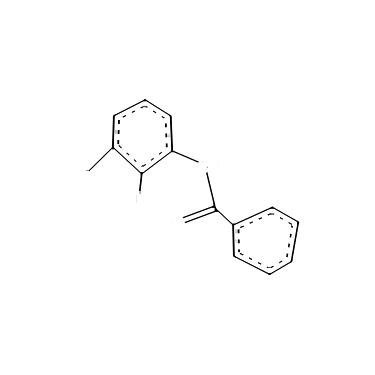 O=C(Nc1cccc(Cl)c1F)c1ccccc1